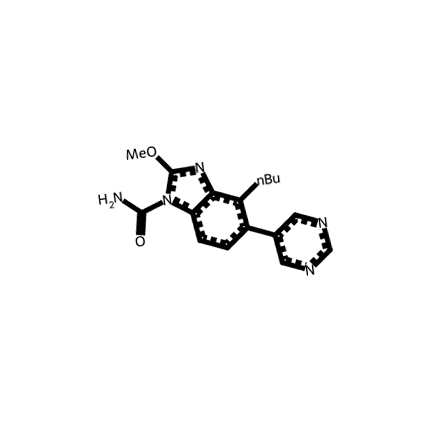 CCCCc1c(-c2cncnc2)ccc2c1nc(OC)n2C(N)=O